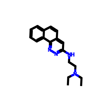 CCN(CC)CCNc1cc2ccc3ccccc3c2nn1